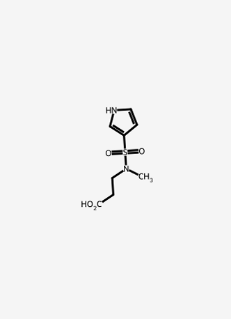 CN(CCC(=O)O)S(=O)(=O)c1cc[nH]c1